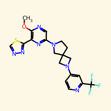 COc1ncc(N2CCC3(CN(c4ccnc(C(F)(F)F)c4)C3)C2)nc1-c1nncs1